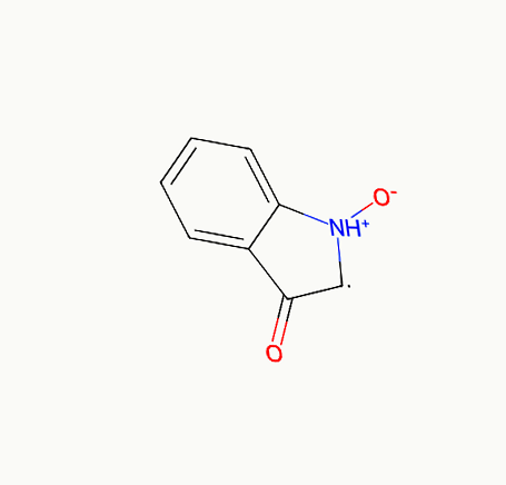 O=C1[CH][NH+]([O-])c2ccccc21